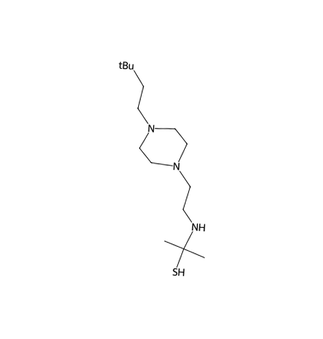 CC(C)(C)CCN1CCN(CCNC(C)(C)S)CC1